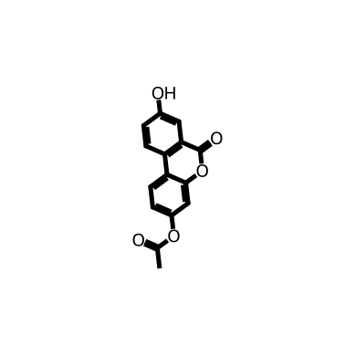 CC(=O)Oc1ccc2c(c1)oc(=O)c1cc(O)ccc12